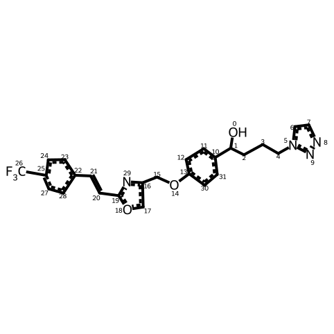 OC(CCCn1ccnn1)c1ccc(OCc2coc(C=Cc3ccc(C(F)(F)F)cc3)n2)cc1